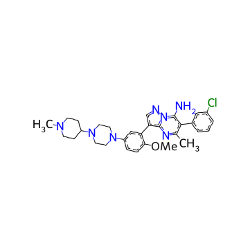 COc1ccc(N2CCN(C3CCN(C)CC3)CC2)cc1-c1cnn2c(N)c(-c3cccc(Cl)c3)c(C)nc12